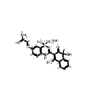 CCCC1(C)C(=O)C(C2=NS(O)(O)c3cc(OCC(N)=O)ccc3N2)=C(O)c2ccccc21.[NaH]